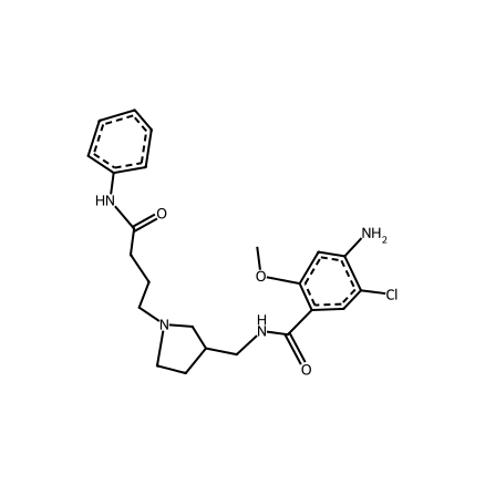 COc1cc(N)c(Cl)cc1C(=O)NCC1CCN(CCCC(=O)Nc2ccccc2)C1